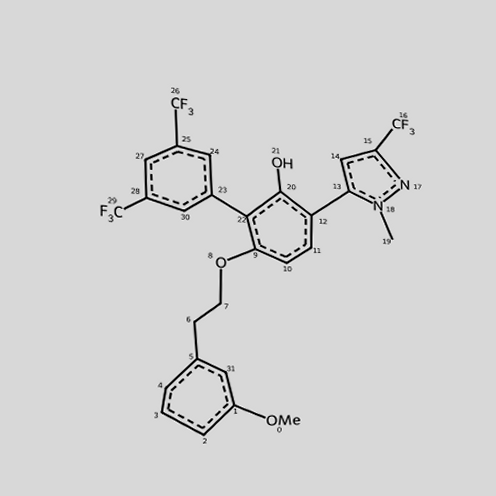 COc1cccc(CCOc2ccc(-c3cc(C(F)(F)F)nn3C)c(O)c2-c2cc(C(F)(F)F)cc(C(F)(F)F)c2)c1